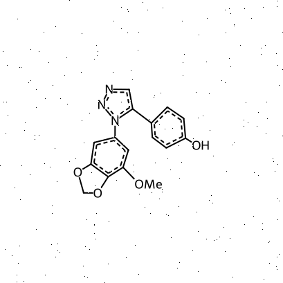 COc1cc(-n2nncc2-c2ccc(O)cc2)cc2c1OCO2